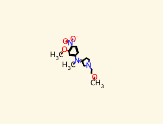 COCCN1CC[C@H](N(C)c2ccc([N+](=O)[O-])c(OC)c2)C1